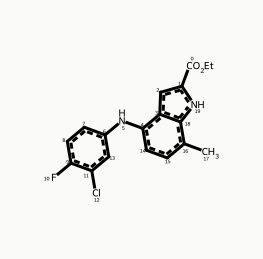 CCOC(=O)c1cc2c(Nc3ccc(F)c(Cl)c3)ccc(C)c2[nH]1